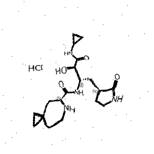 Cl.O=C(NC1CC1)C(O)[C@H](C[C@@H]1CCNC1=O)NC(=O)[C@@H]1CC2(CCN1)CC2